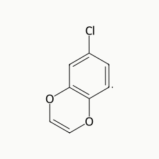 Clc1c[c]c2c(c1)OC=CO2